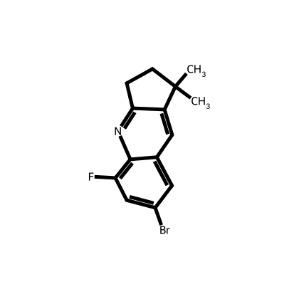 CC1(C)CCc2nc3c(F)cc(Br)cc3cc21